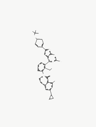 Nc1nc(-c2cccc(-n3ccc4cc(C5CC5)cc(F)c4c3=O)c2CO)c2cc(C3=CCC(OC(F)(F)F)C=C3)[nH]c2n1